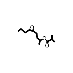 C=C(C)C(=O)OC(C)CCC1OC1CCC